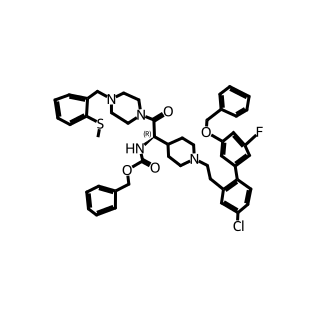 CSc1ccccc1CN1CCN(C(=O)[C@H](NC(=O)OCc2ccccc2)C2CCN(CCc3cc(Cl)ccc3-c3cc(F)cc(OCc4ccccc4)c3)CC2)CC1